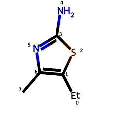 CCc1sc(N)nc1C